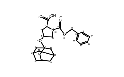 O=C(O)[C@@H]1C[C@H](OC23CC4CC(CC(C4)C2)C3)CN1C(=O)OCc1ccccc1